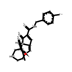 O=C(NCc1ccc(F)cc1)C1=CC2=C[N+]34CCCC(=O)C3(CNCC4)[N+]2(O)C1=O